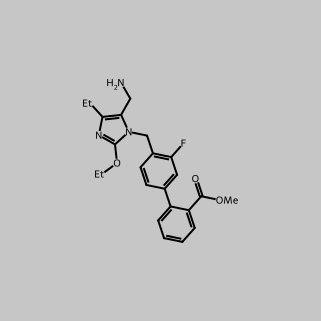 CCOc1nc(CC)c(CN)n1Cc1ccc(-c2ccccc2C(=O)OC)cc1F